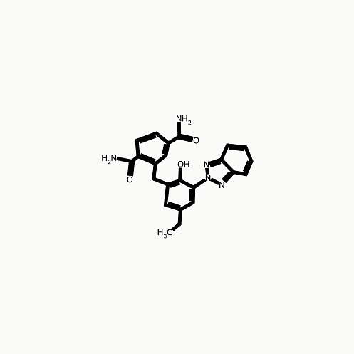 CCc1cc(Cc2cc(C(N)=O)ccc2C(N)=O)c(O)c(-n2nc3ccccc3n2)c1